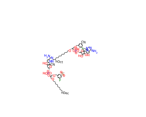 CCCCCCCCCCCCCCCCCCOC[C@H](COCc1cc(F)cc(S(C)(=O)=O)c1)OP(=O)(O)OC[C@@H]1C[C@@H](O)[C@](C#N)(c2ccc3c(N)nc(C(CCCCCCCC)CCCCCCCCCOC[C@H](COCc4cc(F)cc(C#N)c4)OP(=O)(O)OC[C@H]4O[C@@](C#N)(c5ccc6c(N)ncnn56)[C@H](O)[C@@H]4O)nn23)O1